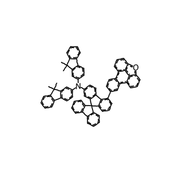 CC1(C)c2ccccc2-c2ccc(N(c3ccc4c(c3)C(C)(C)c3ccccc3-4)c3ccc4c(c3)C3(c5ccccc5-c5ccccc53)c3cccc(-c5ccc6c(c5)c5cccc7oc8cccc6c8c75)c3-4)cc21